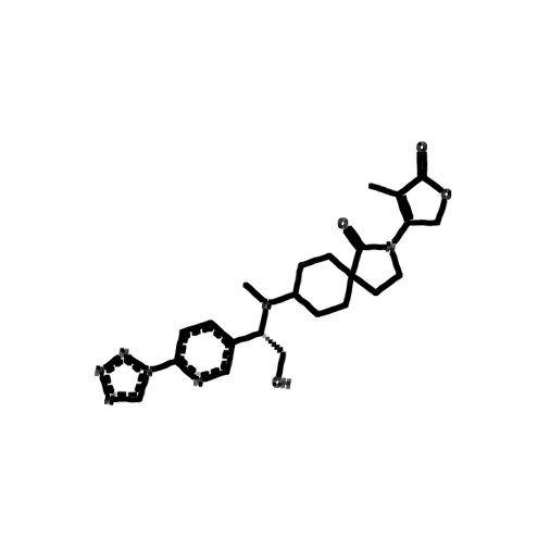 CC1=C(N2CCC3(CCC(N(C)[C@H](CO)c4ccc(-n5cnnn5)nc4)CC3)C2=O)COC1=O